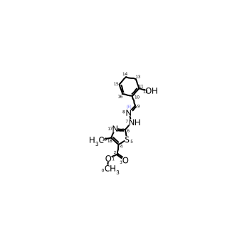 COC(=O)c1sc(N/N=C/C2=C(O)CCC=C2)nc1C